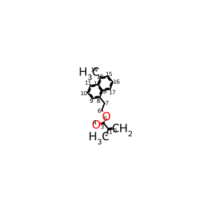 C=C(C)C(=O)OCCc1cccc2c(C)cccc12